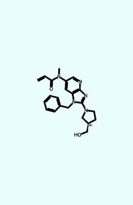 C=CC(=O)N(C)c1cnc2nc(N3CC[C@@H](CO)C3)n(Cc3ccccc3)c2c1